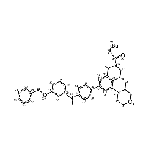 CC1COCCN1c1nc(-c2ccc(Nc3cccc(OCc4ccccc4)n3)cc2)nc2c1CCN(C(=O)OC(C)(C)C)C2